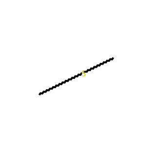 CCCCCCCCCCCCCCCCCCCCCCCCCCCCSCCCCCCCCCCCCCCCCCCC